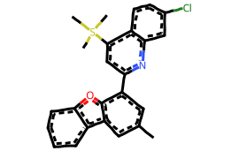 Cc1cc(-c2cc(S(C)(C)C)c3ccc(Cl)cc3n2)c2oc3ccccc3c2c1